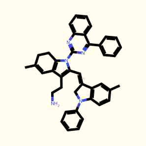 CC1=Cc2c(CCN)c(/C=C3\CN(c4ccccc4)c4ccc(C)cc43)n(-c3nc(-c4ccccc4)c4ccccc4n3)c2CC1